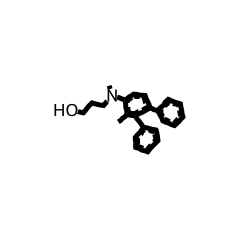 Cc1c(N(C)CCCO)ccc(-c2ccccc2)c1-c1ccccc1